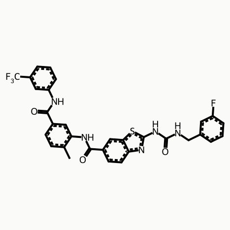 Cc1ccc(C(=O)Nc2cccc(C(F)(F)F)c2)cc1NC(=O)c1ccc2nc(NC(=O)NCc3cccc(F)c3)sc2c1